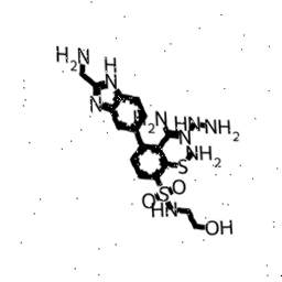 NCc1nc2cc(-c3ccc(S(=O)(=O)NCCO)c(SN)c3/C(N)=N/NN)ccc2[nH]1